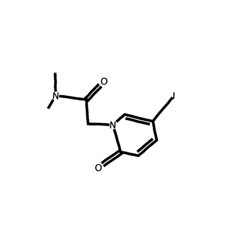 CN(C)C(=O)Cn1cc(I)ccc1=O